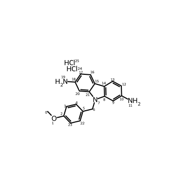 COc1ccc(Cn2c3cc(N)ccc3c3ccc(N)cc32)cc1.Cl.Cl